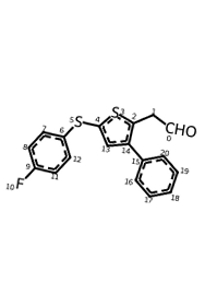 O=CCc1sc(Sc2ccc(F)cc2)cc1-c1ccccc1